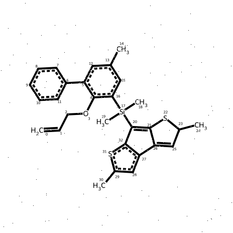 C=CCOc1c(-c2ccccc2)cc(C)cc1[Si](C)(C)C1=C2SC(C)C=C2c2cc(C)sc21